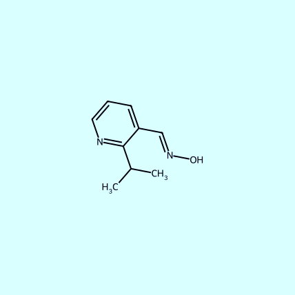 CC(C)c1ncccc1C=NO